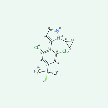 FC(F)(F)C(F)(c1cc(Cl)c(-c2ccnn2C2CC2)c(Cl)c1)C(F)(F)F